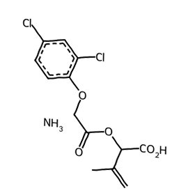 C=C(C)C(OC(=O)COc1ccc(Cl)cc1Cl)C(=O)O.N